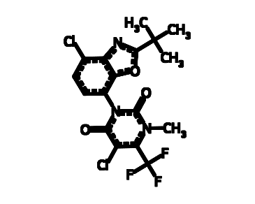 Cn1c(C(F)(F)F)c(Cl)c(=O)n(-c2ccc(Cl)c3nc(C(C)(C)C)oc23)c1=O